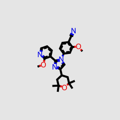 COc1cc(-n2cc(C3CC(C)(C)OC(C)(C)C3)nc2-c2cccnc2OC)ccc1C#N